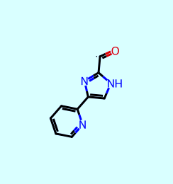 O=[C]c1nc(-c2ccccn2)c[nH]1